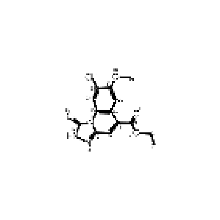 CCOC(=O)c1cc2n[nH]c(=O)n2c2cc(Cl)c(OC)cc12